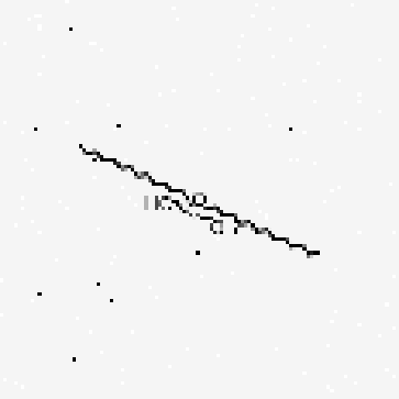 CCCCCCCCCCCCCCOCCCCCCCCCCCCCC.OCCOCCO